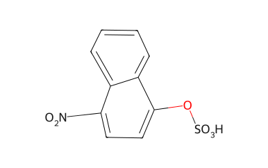 O=[N+]([O-])c1ccc(OS(=O)(=O)O)c2ccccc12